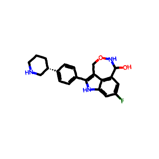 OC1NOCc2c(-c3ccc([C@H]4CCCNC4)cc3)[nH]c3cc(F)cc1c23